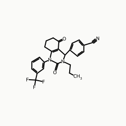 CCCN1C(=O)N(c2cccc(C(F)(F)F)c2)C2=C(C(=O)CCC2)C1c1ccc(C#N)cc1